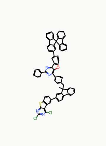 CC1(Cc2ccc(-c3nc(-c4ccccc4)nc4c3oc3ccc(-c5ccc6c(c5)C5(c7ccccc7-c7ccccc75)c5ccccc5-6)cc34)cc2)c2ccccc2-c2ccc(-c3ccc4sc5nc(Cl)nc(Cl)c5c4c3)cc21